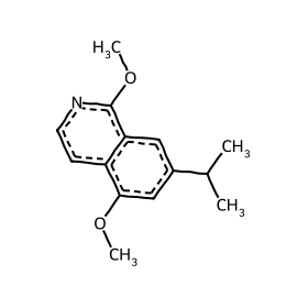 COc1cc(C(C)C)cc2c(OC)nccc12